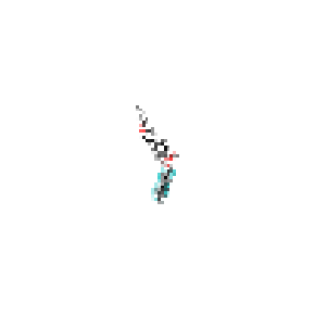 CCCCOc1ccc(-c2ccc(C(=O)OCC(F)(F)C(F)(F)C(F)(F)C(F)(F)C(F)(F)C(F)F)cc2)cc1